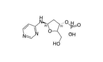 O=[PH](O)O[C@H]1C[C@H](Nc2ccncn2)OC1CO